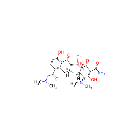 CN(C)CC(=O)c1ccc(O)c2c1C[C@H]1C[C@H]3[C@H](N(C)C)C(O)=C(C(N)=O)C(=O)[C@@]3(O)C(O)=C1C2=O